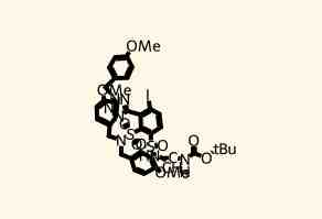 COc1ccc(CN(Cc2ccc(OC)cc2)S(=O)(=O)c2c(S(=O)(=O)N[C@H](C)CNC(=O)OC(C)(C)C)ccc(I)c2-c2nnn(Cc3ccc(OC)cc3)n2)cc1